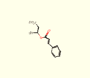 CCCC(CC(=O)OCC)OC(=O)C=Cc1ccccc1